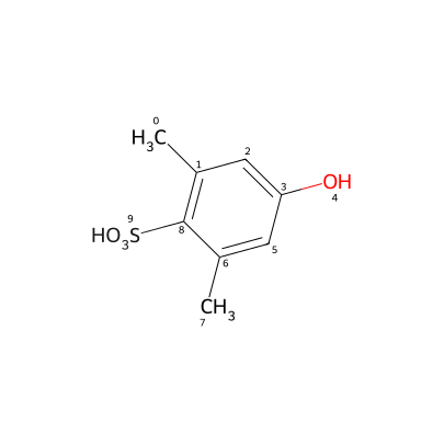 Cc1cc(O)cc(C)c1S(=O)(=O)O